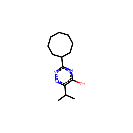 CC(C)c1nnc(C2CCCCCCC2)nc1O